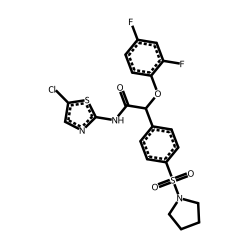 O=C(Nc1ncc(Cl)s1)C(Oc1ccc(F)cc1F)c1ccc(S(=O)(=O)N2CCCC2)cc1